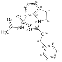 CC(=O)NS(=O)(=O)c1cccc2c1N(C(=O)OCc1ccccc1)CC2